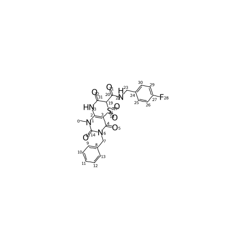 Cn1c2c(c(=O)n(Cc3ccccc3)c1=O)S(=O)(=O)C(C(=O)NCc1ccc(F)cc1)C(=O)N2